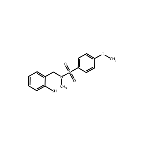 COc1ccc(S(=O)(=O)N(C)Cc2ccccc2S)cc1